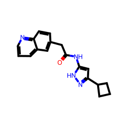 O=C(Cc1ccc2ncccc2c1)Nc1cc(C2CCC2)n[nH]1